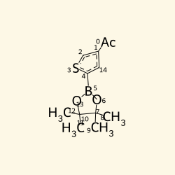 CC(=O)c1csc(B2OC(C)(C)C(C)(C)O2)c1